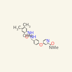 CNC(=O)c1cc(Oc2ccc(CNC(=O)Nc3cc(C)c(C)cc3OC)cc2)ccn1